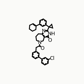 O=C(Cc1cccc(-c2cccc(Cl)c2)c1)N1CCCc2nc(C3(c4cccc(C5=CCCCC5)c4)CC3)[nH]c(=O)c2C1